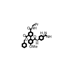 COc1ccc(-c2ccc(C(=O)NCC(C)C)cc2C(=O)OCc2ccccc2)c(C(=O)Nc2ccc(C(=N)N)cc2)c1